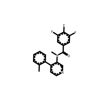 Cc1ccccc1-c1ccncc1N(C)C(=O)c1cc(F)c(F)c(F)c1